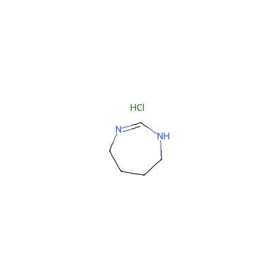 C1=NCCCCN1.Cl